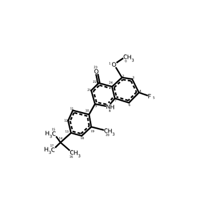 COc1cc(F)cc2[nH]c(-c3ccc(C(C)(C)C)cc3C)cc(=O)c12